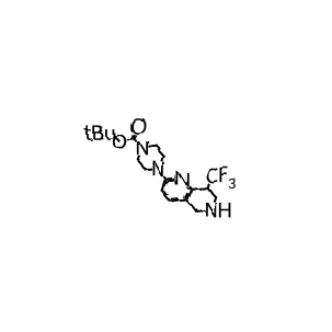 CC(C)(C)OC(=O)N1CCN(c2ccc3c(n2)C(C(F)(F)F)CNC3)CC1